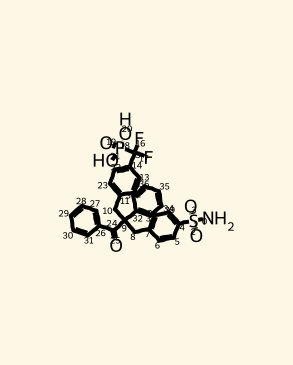 NS(=O)(=O)c1ccc(CC(Cc2ccc(C(F)(F)P(=O)(O)O)cc2)(C(=O)c2ccccc2)c2ccccc2)cc1